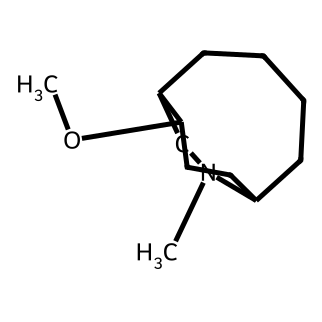 COC1CCC2CCCCC1CN2C